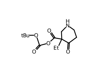 CCC1(C(=O)OC(=O)OC(C)(C)C)CNCCC1=O